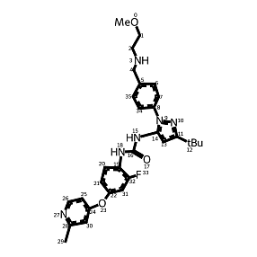 COCCNCc1ccc(-n2nc(C(C)(C)C)cc2NC(=O)Nc2ccc(Oc3ccnc(C)c3)cc2F)cc1